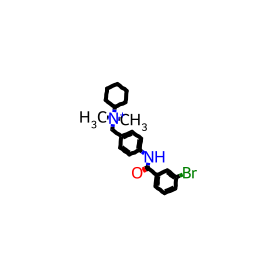 C[N+](C)(Cc1ccc(NC(=O)c2cccc(Br)c2)cc1)C1CCCCC1